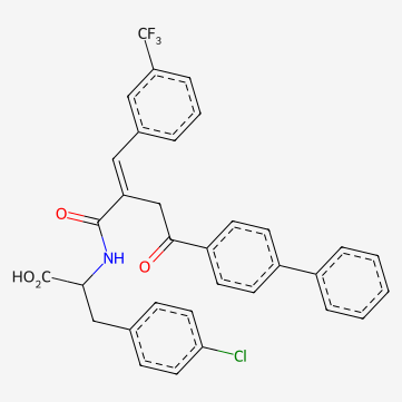 O=C(NC(Cc1ccc(Cl)cc1)C(=O)O)/C(=C/c1cccc(C(F)(F)F)c1)CC(=O)c1ccc(-c2ccccc2)cc1